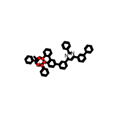 CC1=C(c2ccc(-c3cccc(-c4cc(-c5cccc(-c6ccccc6)c5)nc(-c5ccccc5)n4)c3)cc2-c2ccccc2-c2cc(-c3ccccc3)nc(-c3ccccc3)n2)C=CC(C)CC1